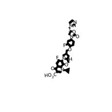 O=C(O)c1cn(C2CC2)c2c3c(c(F)cc2c1=O)N1CC(COc2ccc(N4C[C@H](Cn5ccnn5)OC4=O)cc2F)C[C@H]1CO3